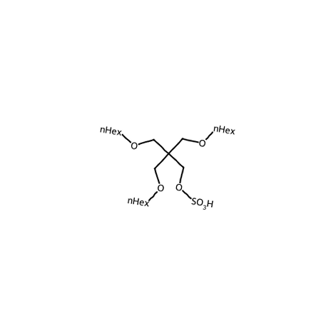 CCCCCCOCC(COCCCCCC)(COCCCCCC)COS(=O)(=O)O